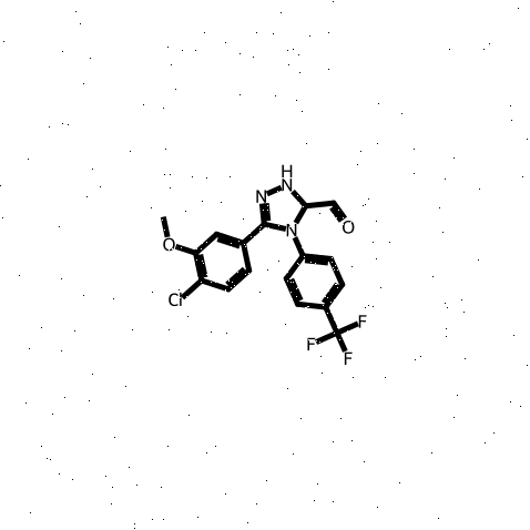 COc1cc(C2=NNC(C=O)N2c2ccc(C(F)(F)F)cc2)ccc1Cl